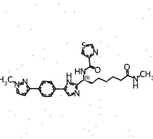 CNC(=O)CCCCC[C@H](NC(=O)c1cscn1)c1ncc(-c2ccc(-c3ccn(C)n3)cc2)[nH]1